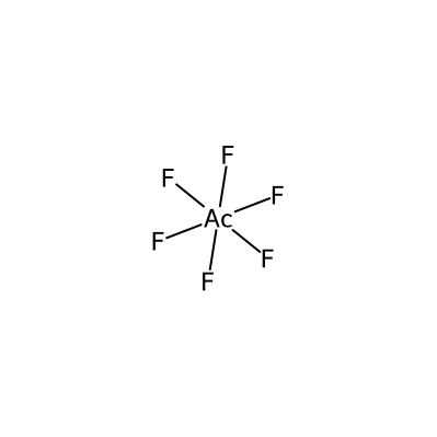 [F][Ac]([F])([F])([F])([F])[F]